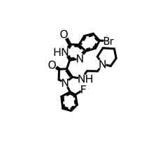 O=C1CN(c2ccccc2F)C(NCCN2CCCCC2)=C1c1nc2cc(Br)ccc2c(=O)[nH]1